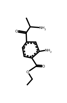 CCOC(=O)c1ccc(C(=O)C(C)N)cc1N